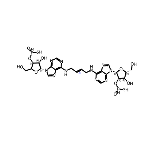 O=[PH](S)O[C@@H]1[C@H](O)[C@@H](CO)O[C@H]1n1cnc2c(NC/C=C/CNc3ncnc4c3ncn4[C@@H]3OC(CO)[C@@H](O[PH](=O)S)[C@H]3O)ncnc21